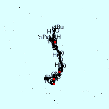 CCCSc1nc(NCCNC(=O)OC(C)(C)C)c2nnn(Cc3ccc(C#CC(=O)NCCOCCNC(=O)c4ccc(-c5csc(N6N=C(c7ccccc7)/C(=N\Nc7nccs7)C6=O)n5)cc4)cc3)c2n1